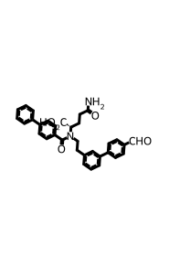 NC(=O)CC[C@@H](C(=O)O)N(CCc1cccc(-c2ccc(C=O)cc2)c1)C(=O)c1ccc(-c2ccccc2)cc1